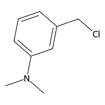 CN(C)c1cccc(CCl)c1